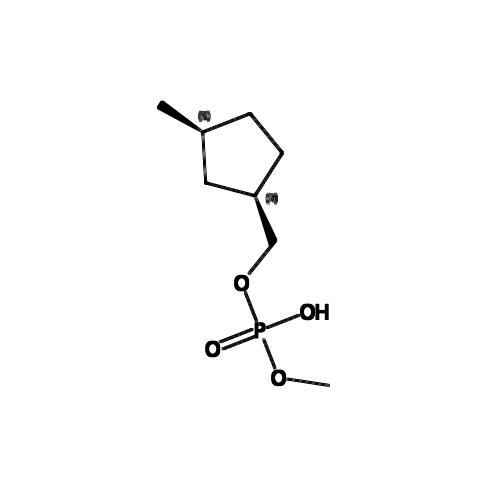 COP(=O)(O)OC[C@@H]1CC[C@H](C)C1